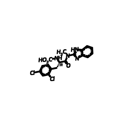 CN(C(=O)[C@H](Cc1ccc(Cl)cc1Cl)NC(=O)O)c1nc2ccccc2[nH]1